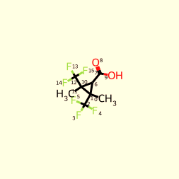 CC1(C(F)(F)F)C(C(=O)O)C1(C)C(F)(F)F